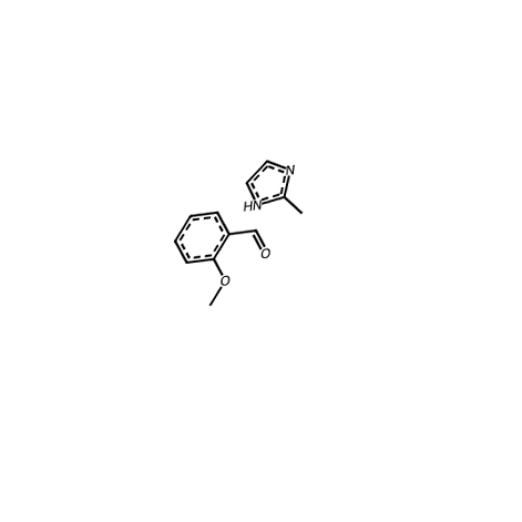 COc1ccccc1C=O.Cc1ncc[nH]1